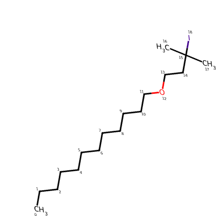 CCCCCCCCCCCCOCCC(C)(C)I